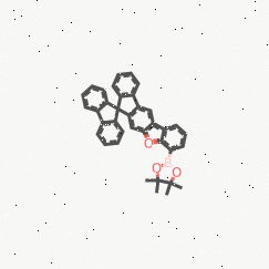 CC1(C)OB(c2cccc3c2oc2cc4c(cc23)-c2ccccc2C42c3ccccc3-c3ccccc32)OC1(C)C